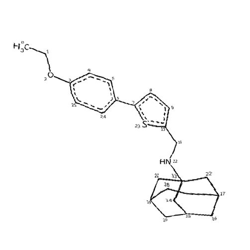 CCOc1ccc(-c2ccc(CNC34CC5CC(CC(C5)C3)C4)s2)cc1